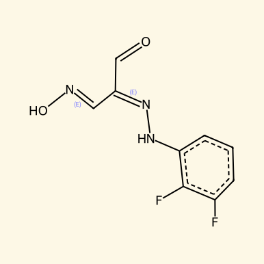 O=CC(/C=N/O)=N/Nc1cccc(F)c1F